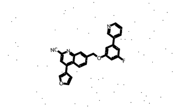 N#Cc1cc(-c2ccoc2)c2ccc(COc3cc(F)cc(-c4cccnc4)c3)cc2n1